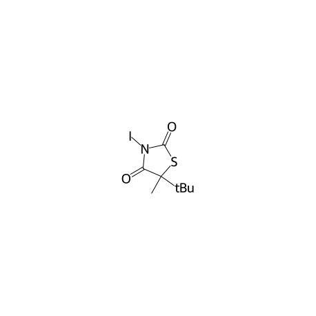 CC(C)(C)C1(C)SC(=O)N(I)C1=O